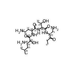 CCC(=O)[C@H](CN)NC(=O)[C@@H](NC(=O)[C@H](CCN)NC(=O)[C@@H](O)[C@@H](N)CC(C)C)C(C)O